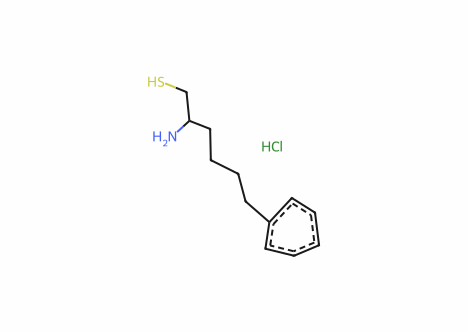 Cl.NC(CS)CCCCc1ccccc1